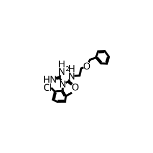 Cc1cccc(Cl)c1N(C(=N)N)C(=O)NCCOCc1ccccc1